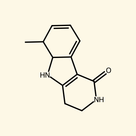 CC1C=CC=C2C3=C(CCNC3=O)NC21